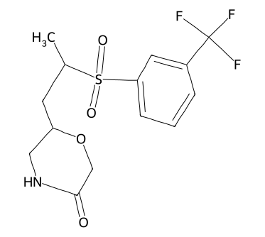 CC(CC1CNC(=O)CO1)S(=O)(=O)c1cccc(C(F)(F)F)c1